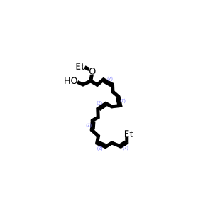 CC/C=C\C/C=C\C/C=C\C/C=C\C/C=C\C/C=C\CC(CO)OCC